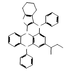 CCC(C)c1cc2c3c(c1)N(c1ccccc1)c1c(oc4c1CCCC4)B3c1ccccc1N2c1ccccc1